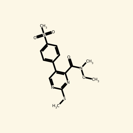 CON(C)C(=O)c1nc(SC)ncc1-c1ccc(S(C)(=O)=O)cc1